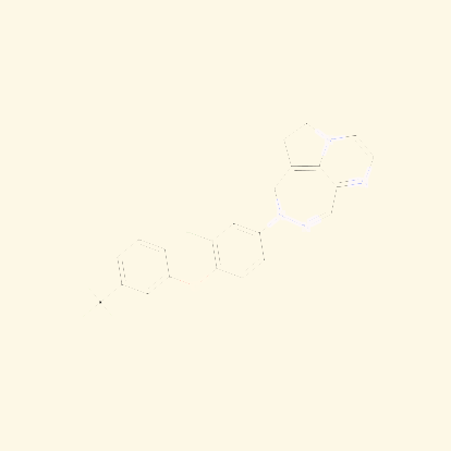 FC(F)(F)c1cccc(Oc2ccc(N3CC4=C5C(=NC=CN5CC4)C=N3)cc2Cl)c1